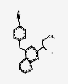 CCC(C)c1cc(Cc2ccc(C#N)cc2)c2ccccc2n1